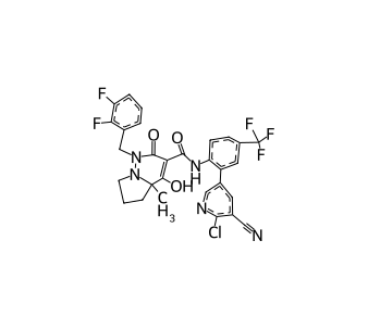 CC12CCCN1N(Cc1cccc(F)c1F)C(=O)C(C(=O)Nc1ccc(C(F)(F)F)cc1-c1cnc(Cl)c(C#N)c1)=C2O